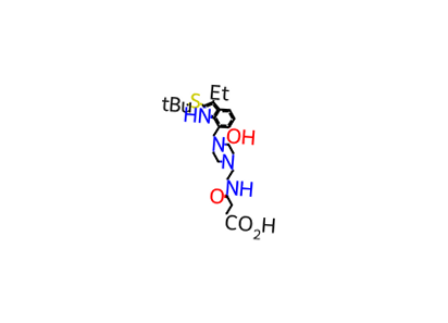 CCc1c(SC(C)(C)C)[nH]c2c(CN3CCN(CCNC(=O)CCC(=O)O)CC3)c(O)ccc12